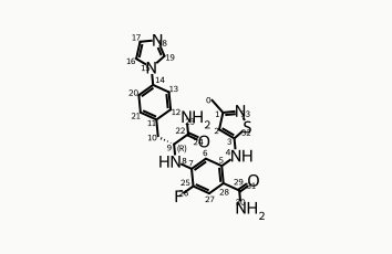 Cc1cc(Nc2cc(N[C@H](Cc3ccc(-n4ccnc4)cc3)C(N)=O)c(F)cc2C(N)=O)sn1